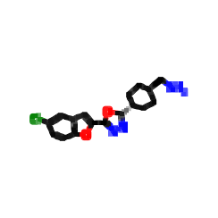 NC[C@H]1CC[C@H](c2nnc(-c3cc4cc(Cl)ccc4o3)o2)CC1